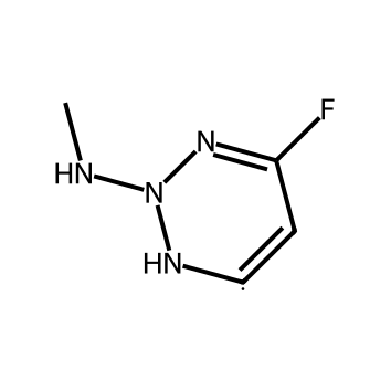 CNN1N=C(F)C=[C]N1